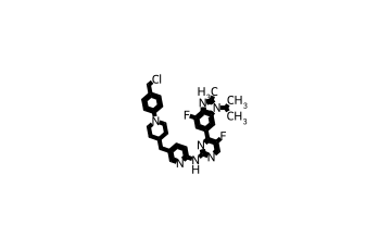 Cc1nc2c(F)cc(-c3nc(Nc4ccc(CC5CCN(c6ccc(CCl)cc6)CC5)cn4)ncc3F)cc2n1C(C)C